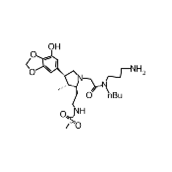 CCCCN(CCCN)C(=O)CN1C[C@H](c2cc(O)c3c(c2)OCO3)[C@@H](C)[C@@H]1CCNS(C)(=O)=O